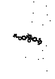 CN(C)CCOc1ccc(-n2ccn(-c3ccc(C4SCCS4)cc3)c2=O)cc1